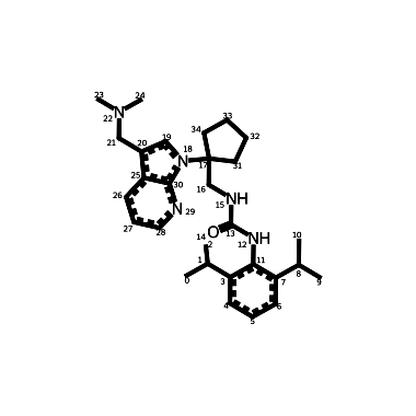 CC(C)c1cccc(C(C)C)c1NC(=O)NCC1(n2cc(CN(C)C)c3cccnc32)CCCC1